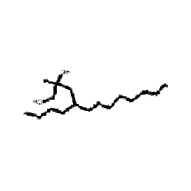 CCCCCCCCC(CCCC)CC(C)(O)CO